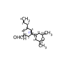 C=CCC(F)/C=C(\CNC=O)N1CC(C)OC(C)C1